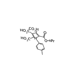 CCCOC(=O)c1c(C(=O)O)c(C(=O)O)c(C(=O)O)n1-c1ccc(C)cc1